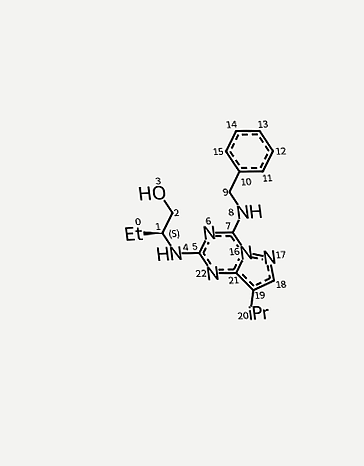 CC[C@@H](CO)Nc1nc(NCc2ccccc2)n2ncc(C(C)C)c2n1